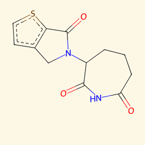 O=C1CCCC(N2Cc3ccsc3C2=O)C(=O)N1